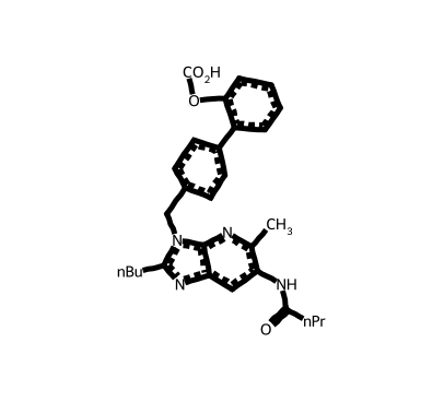 CCCCc1nc2cc(NC(=O)CCC)c(C)nc2n1Cc1ccc(-c2ccccc2OC(=O)O)cc1